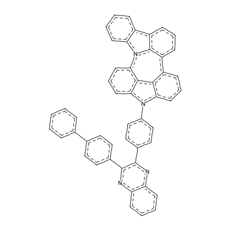 c1ccc(-c2ccc(-c3nc4ccccc4nc3-c3ccc(-n4c5cccc6c7cccc8c9ccccc9n(c9cccc4c9c65)c78)cc3)cc2)cc1